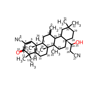 C=C1C[C@@H]2[C@@]3(C)C=C(C#N)C(=O)C(C)(C)[C@@H]3CC[C@@]2(C)[C@]2(C)CC[C@@]3(C(O)CC#N)CCC(C)(C)CC3C12